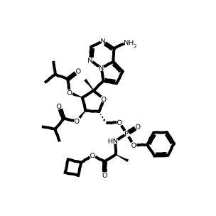 CC(C)C(=O)O[C@H]1[C@@H](OC(=O)C(C)C)[C@](C)(c2ccc3c(N)ncnn23)O[C@@H]1COP(=O)(N[C@@H](C)C(=O)OC1CCC1)Oc1ccccc1